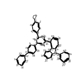 Clc1ccc(-c2nc(-c3ccc(-c4ccccc4)cc3)nc(-c3cccc4c3c3ccccc3n4-c3ccccc3)n2)cc1